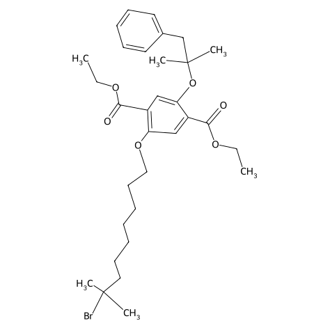 CCOC(=O)c1cc(OC(C)(C)Cc2ccccc2)c(C(=O)OCC)cc1OCCCCCCCC(C)(C)Br